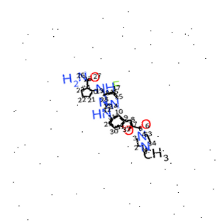 CN1CCN(C(=O)c2cc3cc(Nc4ncc(F)c(NC5CCCC5C(N)=O)n4)ccc3o2)CC1